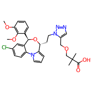 COc1cccc([C@H]2O[C@H](CCn3nncc3COCC(C)(C)C(=O)O)c3cccn3-c3ccc(Cl)cc32)c1OC